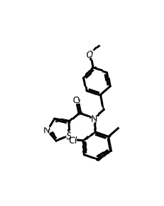 COc1ccc(CN(C(=O)c2cncs2)c2c(C)cccc2Cl)cc1